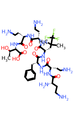 C[C@@H](O)[C@H](NC(=O)[C@H](CCN)NC(=O)[C@H](CCN)NC(=O)[C@H](CC(C)(C)C(F)(F)F)NC(=O)[C@@H](Cc1ccccc1)NC(=O)[C@H](CCN)NC(=O)[C@@H](N)CCN)C(=O)O